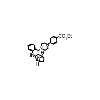 CCOC(=O)c1ccc(N2CCN(Cc3ccccc3NC3C[C@H]4CC[C@@H](C3)N4C)CC2)cc1